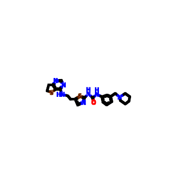 O=C(Nc1cccc(CN2CCCCC2)c1)Nc1ncc(CCNc2ncnc3c2SCC3)s1